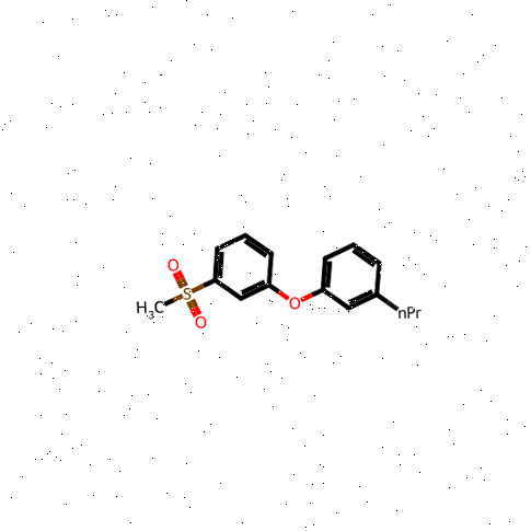 CCCc1[c]c(Oc2cccc(S(C)(=O)=O)c2)ccc1